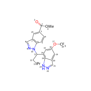 COC(=O)c1ccc2c(cnn2C(CC(C)C)c2cc(OC(F)(F)F)cc3cn[nH]c23)c1